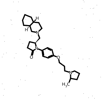 CC1CCCN1CCCOc1ccc(N2C(=O)CC[C@H]2CN2CC[C@H]3CCCC[C@@H]3C2)cc1